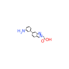 Nc1cccc(-c2ccc3cn(CC(=O)O)nc3c2)c1